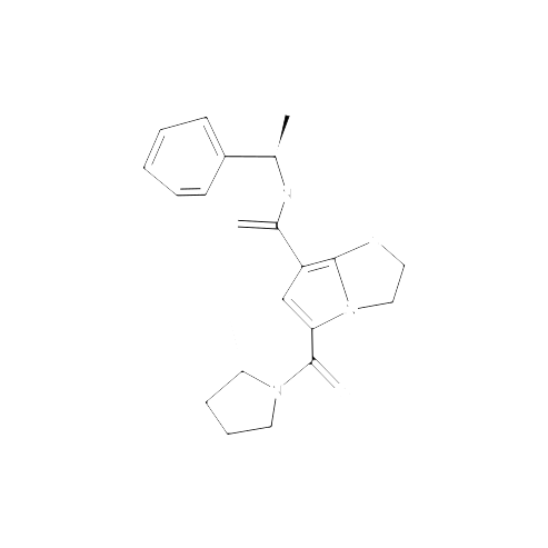 C[C@@H](NC(=O)c1cc(C(=O)N2CCC[C@@H]2C)n2c1SCC2)c1ccccc1